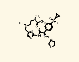 CC(=O)N(C)CCN(C)Cc1cnc(NC(=O)/C(=N/O[C@@H]2CCOC2)c2ccc(S(=O)(=O)C3CC3)cc2)s1